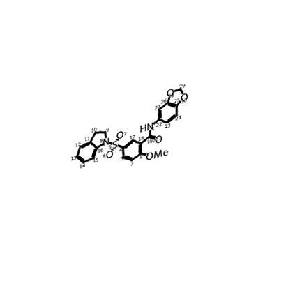 COc1ccc(S(=O)(=O)N2CCc3ccccc32)cc1C(=O)Nc1ccc2c(c1)OCO2